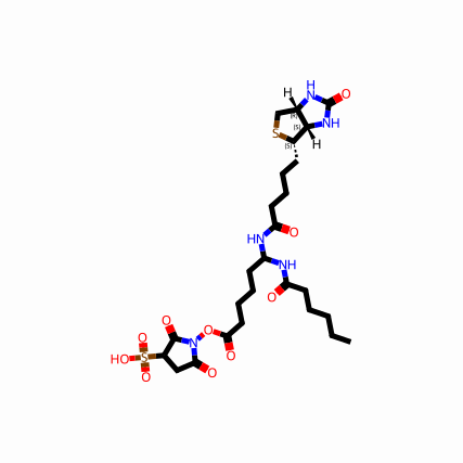 CCCCCC(=O)NC(CCCCC(=O)ON1C(=O)CC(S(=O)(=O)O)C1=O)NC(=O)CCCC[C@@H]1SC[C@@H]2NC(=O)N[C@@H]21